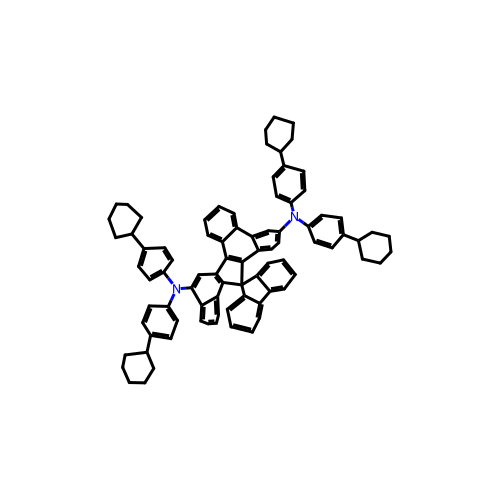 c1ccc2c(c1)-c1ccccc1C21c2c(cc(N(c3ccc(C4CCCCC4)cc3)c3ccc(C4CCCCC4)cc3)c3ccccc23)-c2c1c1ccc(N(c3ccc(C4CCCCC4)cc3)c3ccc(C4CCCCC4)cc3)cc1c1ccccc21